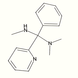 CNC(c1ccccc1)(c1ccccn1)N(C)C